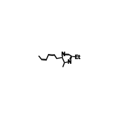 C/C=C\C=C/CC1N=CC(CC)=NC1C